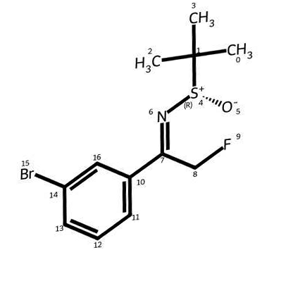 CC(C)(C)[S@+]([O-])N=C(CF)c1cccc(Br)c1